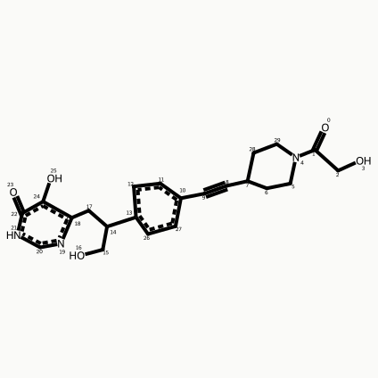 O=C(CO)N1CCC(C#Cc2ccc(C(CO)Cc3nc[nH]c(=O)c3O)cc2)CC1